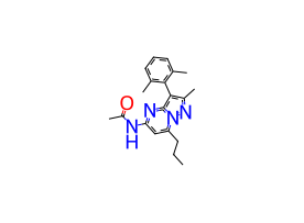 CCCc1cc(NC(C)=O)nc2c(-c3c(C)cccc3C)c(C)nn12